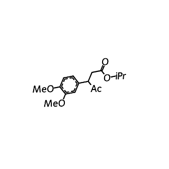 COc1ccc(C(CC(=O)OC(C)C)C(C)=O)cc1OC